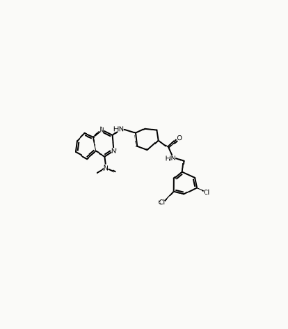 CN(C)c1nc(NC2CCC(C(=O)NCc3cc(Cl)cc(Cl)c3)CC2)nc2ccccc12